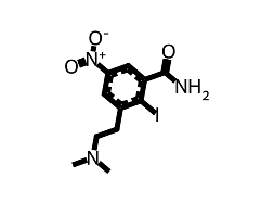 CN(C)CCc1cc([N+](=O)[O-])cc(C(N)=O)c1I